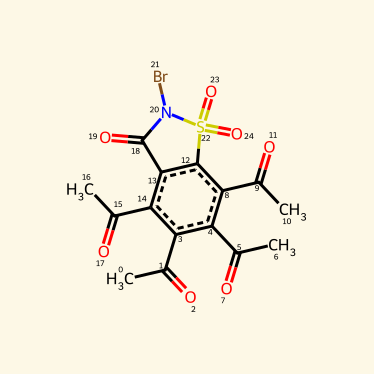 CC(=O)c1c(C(C)=O)c(C(C)=O)c2c(c1C(C)=O)C(=O)N(Br)S2(=O)=O